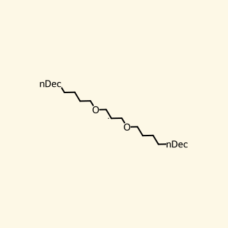 CCCCCCCCCCCCCCOC[CH]COCCCCCCCCCCCCCC